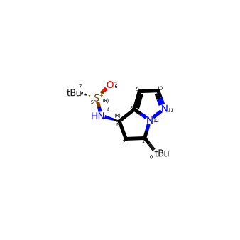 CC(C)(C)C1C[C@@H](N[S@@+]([O-])C(C)(C)C)c2ccnn21